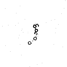 Cc1nc(N[C@H]2CC[C@@H](C(=O)NC3CCCCC3)CC2)nc2ccc(-c3cccc4c3OCCO4)cc12